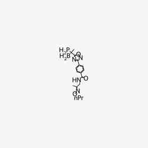 BC(C)(P)c1nc(-c2ccc(C(=O)NC/C(C)=N/OCCC)cc2)no1